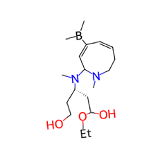 CCOC(O)C[C@H](CCO)N(C)C1/C=C(/B(C)C)C=CCCN1C